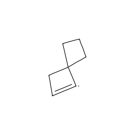 [C]1=CCC12CCC2